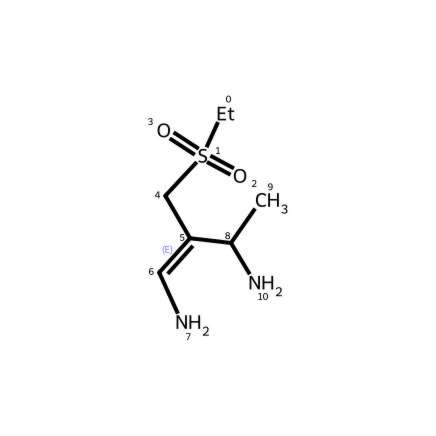 CCS(=O)(=O)C/C(=C/N)C(C)N